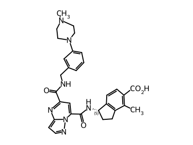 Cc1c(C(=O)O)ccc2c1CC[C@@H]2NC(=O)c1cc(C(=O)NCc2cccc(N3CCN(C)CC3)c2)nc2ccnn12